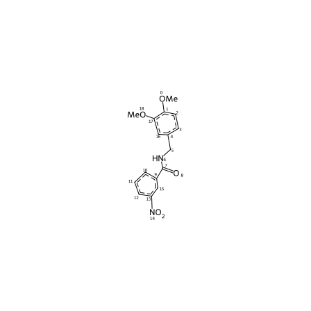 COc1ccc(CNC(=O)c2cccc([N+](=O)[O-])c2)cc1OC